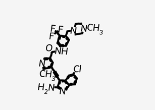 Cc1ncc(C(=O)Nc2ccc(CN3CCN(C)CC3)c(C(F)(F)F)c2)cc1C#Cc1c(N)ncc2ccc(Cl)cc12